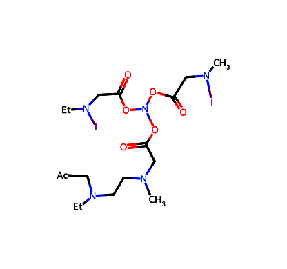 CCN(I)CC(=O)ON(OC(=O)CN(C)I)OC(=O)CN(C)CCN(CC)CC(C)=O